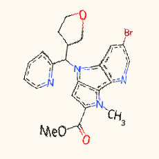 COC(=O)c1cc2c(c3ncc(Br)cc3n2C(c2ccccn2)C2CCOC2)n1C